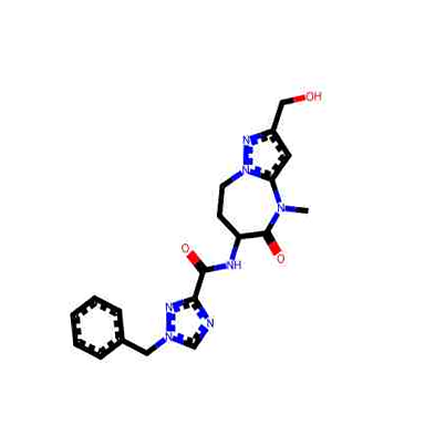 CN1C(=O)C(NC(=O)c2ncn(Cc3ccccc3)n2)CCn2nc(CO)cc21